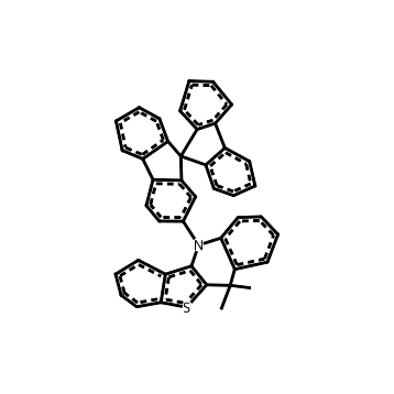 CC1(C)c2ccccc2N(c2ccc3c(c2)C2(c4ccccc4-c4ccccc42)c2ccccc2-3)c2c1sc1ccccc21